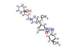 CCC1(c2cc(F)cc(NS(=O)(=O)c3ccc(C)cc3)c2)C2CN(CCCC3(O)CCCCC3)CC21